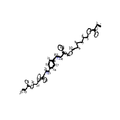 C=CC(=O)OCCCCCCOC(=O)/C=C/c1ccc(/C=C/C(=O)OCCOC(=O)C=C)cc1